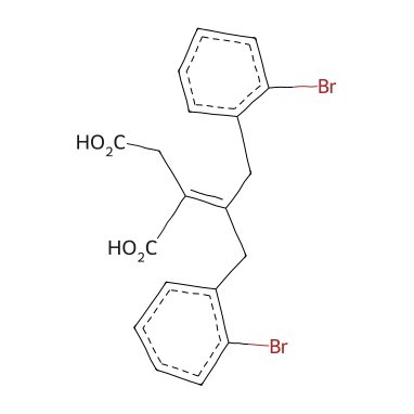 O=C(O)CC(C(=O)O)=C(Cc1ccccc1Br)Cc1ccccc1Br